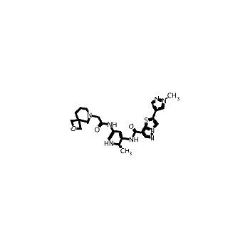 CC1NC=C(NC(=O)CN2CCCC3(COC3)C2)C=C1NC(=O)c1cnn2cc(-c3cnn(C)c3)sc12